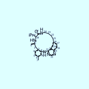 C=C1Cc2ccc(C)cc2Nc2ncnc3ccc(cc23)CCCCNC(=O)C(C(C)C)N1